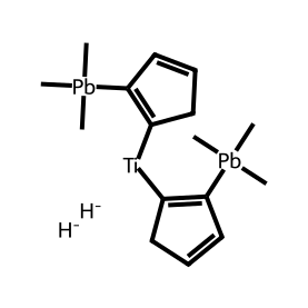 [CH3][Pb]([CH3])([CH3])[C]1=[C]([Ti][C]2=[C]([Pb]([CH3])([CH3])[CH3])C=CC2)CC=C1.[H-].[H-]